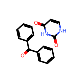 O=C(c1ccccc1)c1ccccc1.O=c1cc[nH]c(=O)[nH]1